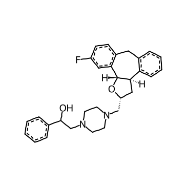 OC(CN1CCN(C[C@H]2C[C@@H]3c4ccccc4Cc4ccc(F)cc4[C@H]3O2)CC1)c1ccccc1